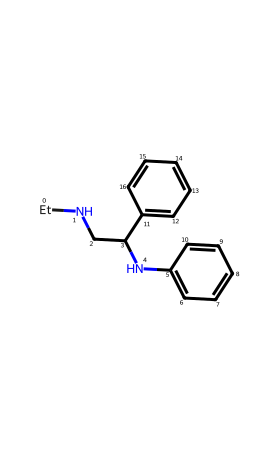 CCNCC(Nc1ccccc1)c1ccccc1